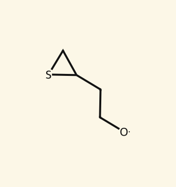 [O]CCC1CS1